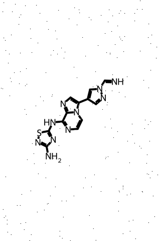 N=Cn1cc(-c2cnc3c(Nc4nc(N)ns4)nccn23)cn1